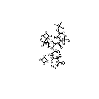 CC(C)(C)OC(=O)N[C@H](C(=O)N1C[C@]2(C[C@H]1C(=O)NC(CC1CCC1)C(=O)C(N)=O)C(C)(C)C21CCC1)C(C)(C)C